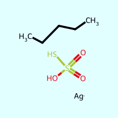 CCCCC.O=S(=O)(O)S.[Ag]